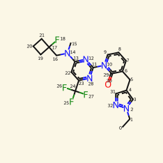 CCn1cc(Cc2cccn(-c3nc(N(C)CC4(F)CCC4)cc(C(F)(F)F)n3)c2=O)cn1